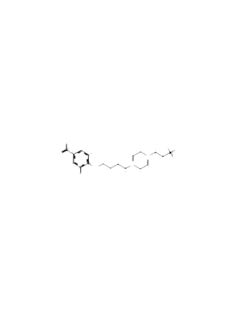 CC(C)(C)CCN1CCN(CCCCOc2ccc(C(=O)O)cc2F)CC1